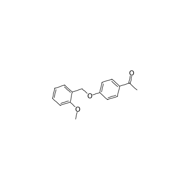 COc1ccccc1COc1ccc(C(C)=O)cc1